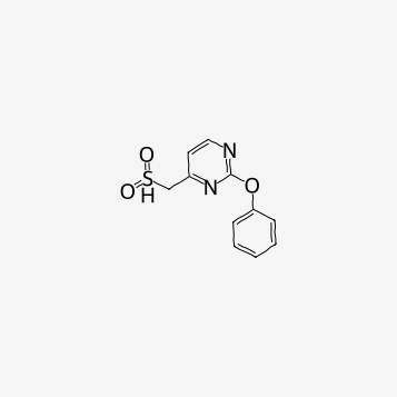 O=[SH](=O)Cc1ccnc(Oc2ccccc2)n1